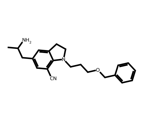 CC(N)Cc1cc(C#N)c2c(c1)CCN2CCCOCc1ccccc1